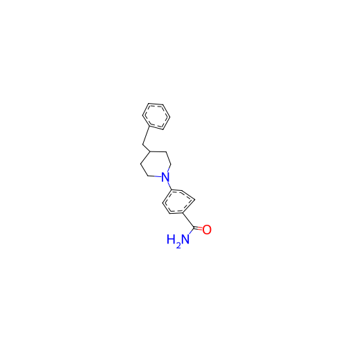 NC(=O)c1ccc(N2CCC(Cc3ccccc3)CC2)cc1